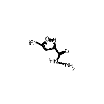 CC(C)c1cc(C(=O)NN)no1